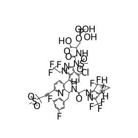 CC(C)(C#Cc1ccc(-c2ccc(Cl)c3c(N(C(=O)NC(COP(=O)(O)O)C(=O)O)S(C)(=O)=O)nn(CC(F)(F)F)c23)c(C(Cc2cc(F)cc(F)c2)NC(=O)Cn2nc(C(F)(F)F)c3c2C(F)(F)[C@@H]2C[C@H]32)n1)S(C)(=O)=O